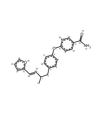 CC(Cc1ccc(Oc2ccc(C(N)=O)cn2)cc1)N=Cc1ccco1